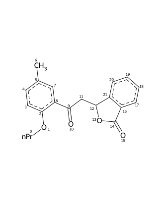 CCCOc1ccc(C)cc1C(=O)CC1OC(=O)c2ccccc21